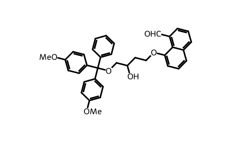 COc1ccc(C(OCC(O)CCOc2cccc3cccc(C=O)c23)(c2ccccc2)c2ccc(OC)cc2)cc1